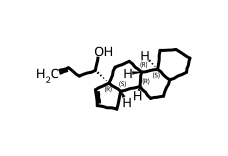 C=CCC(O)[C@@]12C=CC[C@H]1[C@@H]1CCC3CCCC[C@@H]3[C@H]1CC2